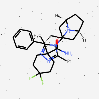 Cc1nnc(C(C)C)n1C1C[C@H]2CC[C@@H](C1)N2CC[C@@H](c1ccccc1)C1(C(N)=O)CCC(F)(F)CC1